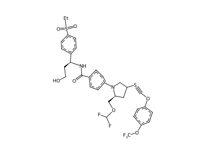 CCS(=O)(=O)c1ccc([C@H](CCO)NC(=O)c2ccc(N3CC(S#COc4ccc(OC(F)(F)F)cc4)C[C@H]3COC(F)F)cc2)cc1